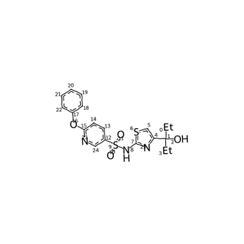 CCC(O)(CC)c1csc(NS(=O)(=O)c2ccc(Oc3ccccc3)nc2)n1